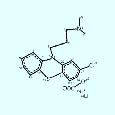 CN(C)CCCN1c2ccccc2Sc2ccc(Cl)cc21.O=C([O-])[O-].[Li+].[Li+]